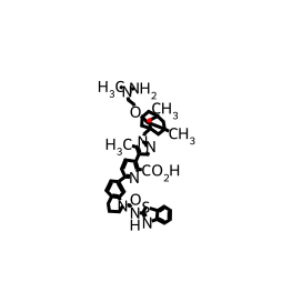 Cc1c(-c2ccc(-c3ccc4c(c3)N(C(=O)Nc3nc5ccccc5s3)CCC4)nc2C(=O)O)cnn1CC12CC3(C)CC(C)(C1)CC(OCCN(C)N)(C3)C2